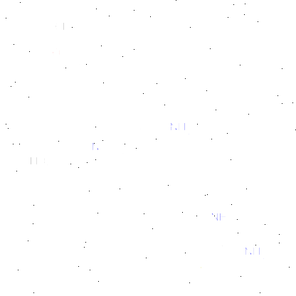 CCn1c(-c2cccc(NC(N)=S)c2)c(N)c2ccc(OC)cc21